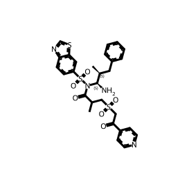 CC(CS(=O)(=O)CC(=O)c1ccncc1)C(=O)N([C@H](N)[C@@H](C)Cc1ccccc1)S(=O)(=O)c1ccc2ncsc2c1